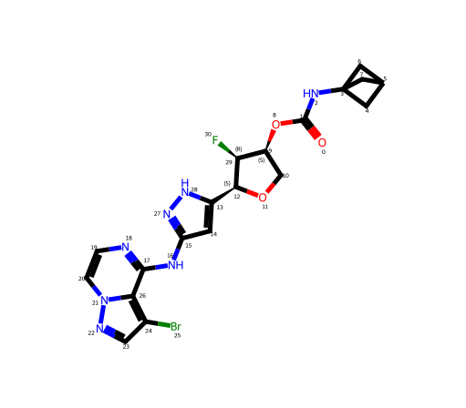 O=C(NC12CC(C1)C2)O[C@H]1CO[C@@H](c2cc(Nc3nccn4ncc(Br)c34)n[nH]2)[C@H]1F